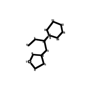 CC[C](CC1CCOC1)N1CCCCC1